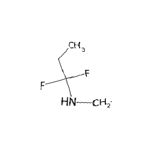 [CH2]NC(F)(F)CC